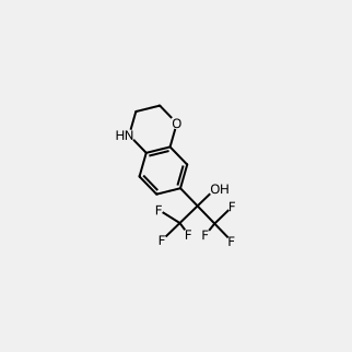 OC(c1ccc2c(c1)OCCN2)(C(F)(F)F)C(F)(F)F